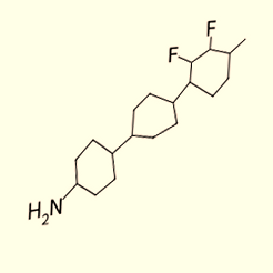 CC1CCC(C2CCC(C3CCC(N)CC3)CC2)C(F)C1F